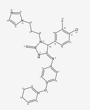 O=C1N/C(=N\c2ccc(OC3=CCCC=C3)cc2)C(c2ccc(Cl)c(F)c2)N1CCCn1ccnc1